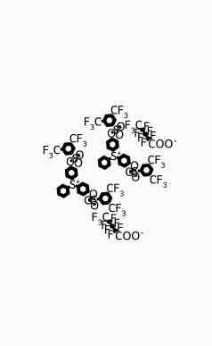 O=C([O-])C(F)(F)C(F)(F)C(F)(F)C(F)(F)F.O=C([O-])C(F)(F)C(F)(F)C(F)(F)C(F)(F)F.O=S(=O)(Oc1ccc([S+](c2ccccc2)c2ccc(OS(=O)(=O)c3cc(C(F)(F)F)cc(C(F)(F)F)c3)cc2)cc1)c1cc(C(F)(F)F)cc(C(F)(F)F)c1.O=S(=O)(Oc1ccc([S+](c2ccccc2)c2ccc(OS(=O)(=O)c3cc(C(F)(F)F)cc(C(F)(F)F)c3)cc2)cc1)c1cc(C(F)(F)F)cc(C(F)(F)F)c1